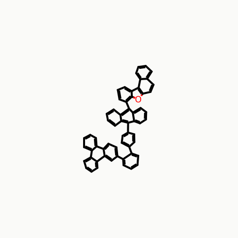 c1ccc(-c2ccc3c4ccccc4c4ccccc4c3c2)c(-c2ccc(-c3c4ccccc4c(-c4cccc5c4oc4ccc6ccccc6c45)c4ccccc34)cc2)c1